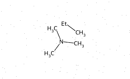 CCC.CN(C)C